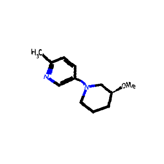 CO[C@H]1C[CH]CN(c2ccc(C)nc2)C1